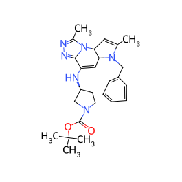 CC1=CC2C(C=C(N[C@H]3CCN(C(=O)OC(C)(C)C)C3)c3nnc(C)n32)N1Cc1ccccc1